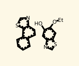 CCOc1cc2scnc2cc1O.c1ccc2c(c1)ccc1ncsc12